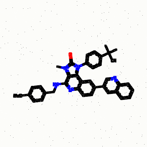 COc1ccc(CNc2nc3ccc(-c4cnc5ccccc5c4)cc3c3c2n(C)c(=O)n3-c2ccc(C(C)(C)C#N)cc2)cc1